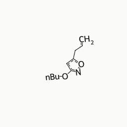 C=CCc1cc(OCCCC)no1